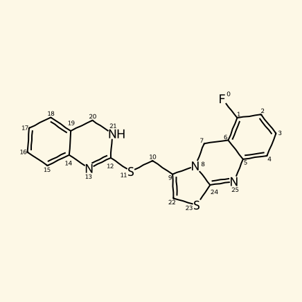 Fc1cccc2c1CN1C(CSC3=Nc4ccccc4CN3)=CSC1=N2